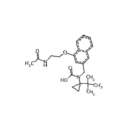 CC(=O)NCCOc1cc(CN(C(=O)O)C2(C(C)(C)C)CC2)cc2ccccc12